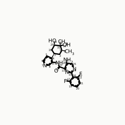 C[C@H]1C[C@@H](c2ccncc2NC(=O)c2nc(-c3c(F)cccc3F)ncc2N)C[C@@H](O)[C@]1(C)O